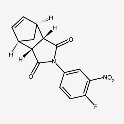 O=C1[C@@H]2[C@H](C(=O)N1c1ccc(F)c([N+](=O)[O-])c1)[C@H]1C=C[C@@H]2C1